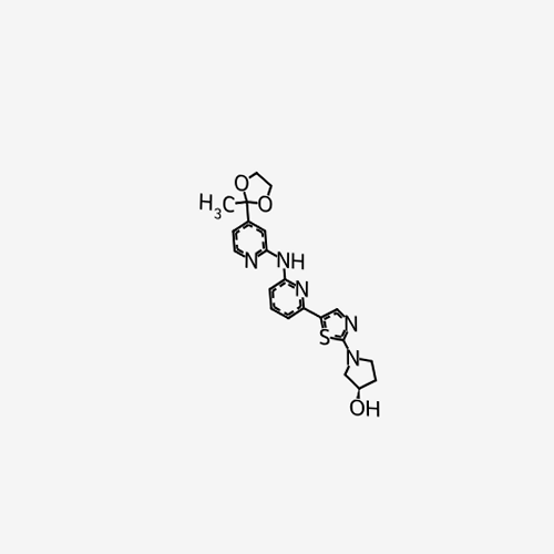 CC1(c2ccnc(Nc3cccc(-c4cnc(N5CC[C@@H](O)C5)s4)n3)c2)OCCO1